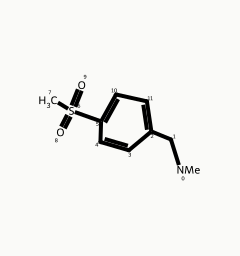 [CH2]NCc1ccc(S(C)(=O)=O)cc1